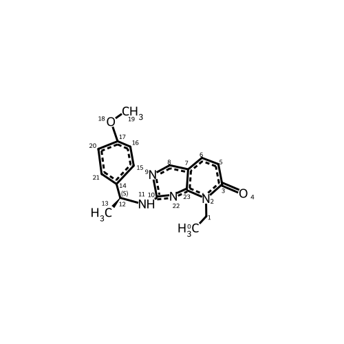 CCn1c(=O)ccc2cnc(N[C@@H](C)c3ccc(OC)cc3)nc21